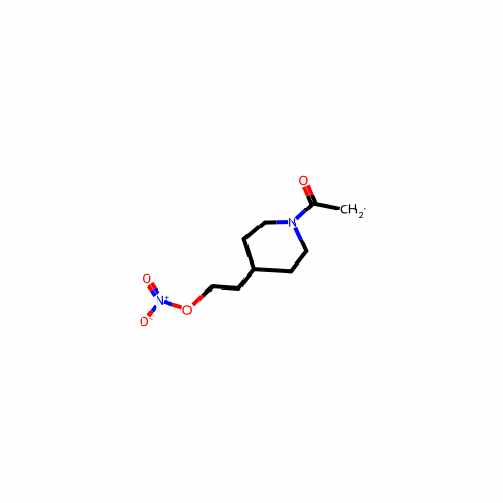 [CH2]C(=O)N1CCC(CCO[N+](=O)[O-])CC1